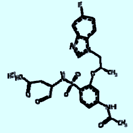 CC(=O)Nc1ccc(S(=O)(=O)NC(C=O)CC(=O)O)c(O[C@H](C)Cn2cnc3cc(F)ccc32)c1.Cl